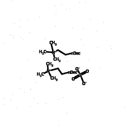 CCCCCCCCCCCC[N+](C)(C)C.CCCCCCCCCCCC[N+](C)(C)C.O=S(=O)([O-])[O-]